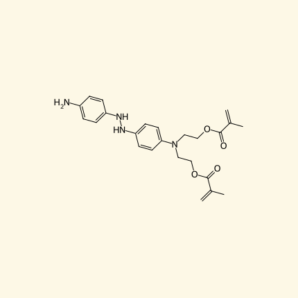 C=C(C)C(=O)OCCN(CCOC(=O)C(=C)C)c1ccc(NNc2ccc(N)cc2)cc1